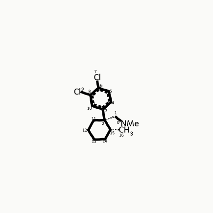 CNC[C@@]1(c2ccc(Cl)c(Cl)c2)CCCC[C@H]1C